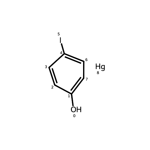 Oc1ccc(I)cc1.[Hg]